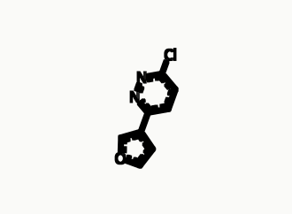 Clc1ccc(-c2ccoc2)nn1